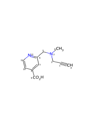 C#CCN(C)Cc1cc(C(=O)O)ccn1